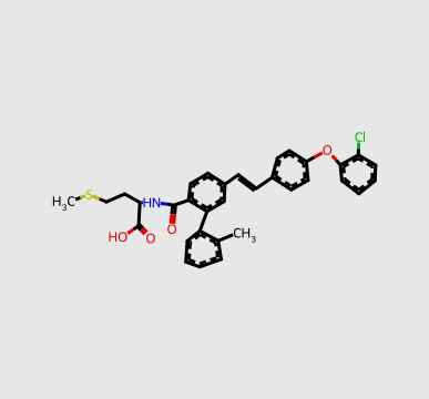 CSCCC(NC(=O)c1ccc(/C=C/c2ccc(Oc3ccccc3Cl)cc2)cc1-c1ccccc1C)C(=O)O